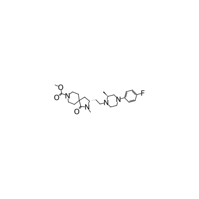 COC(=O)N1CCC2(CC1)C[C@H](CCN1CCN(c3ccc(F)cc3)C[C@@H]1C)N(C)C2=O